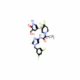 C[C@@H](C(=O)Nc1cn(Cc2cc(F)cc(F)c2)cn1)N1CCC(F)(F)[C@@H](c2c[nH]c(=O)c(CO)c2)C1